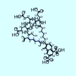 C=C(C)/C=C/C=C/C=C(\C)N(CCCCCC(=O)NC(CCC(=O)O)C(=O)NC(CCC(=O)O)C(=O)NC(CCC(=O)O)C(=O)NCCC)c1ccc2c(S(=O)(=O)O)cc(S(=O)(=O)O)cc2c1C